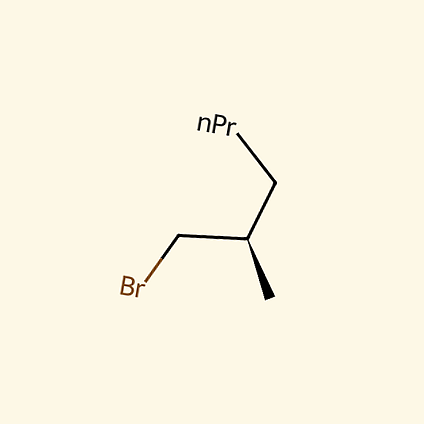 CCCC[C@@H](C)CBr